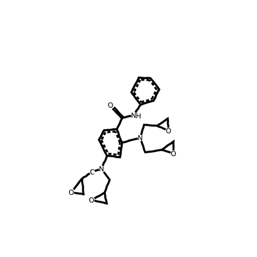 O=C(Nc1ccccc1)c1ccc(N(CC2CO2)CC2CO2)cc1N(CC1CO1)CC1CO1